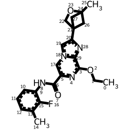 CCOc1nc(C(=O)Nc2cccc(C)c2F)cn2cc(C34COC(C)(C3)C4)nc12